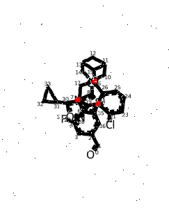 O=Cc1cc(F)c2nc(N3CC4CC(C3)C4OCc3c(-c4c(Cl)cccc4Cl)noc3C3CC3)sc2c1